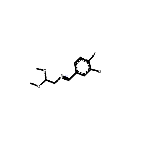 COC(C/N=C/c1ccc(F)c(Cl)c1)OC